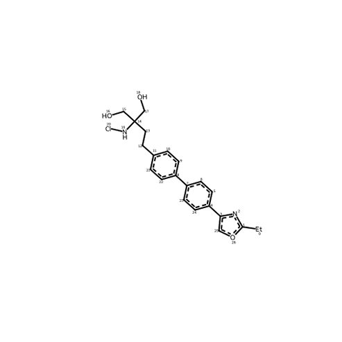 CCc1nc(-c2ccc(-c3ccc(CCC(CO)(CO)NCl)cc3)cc2)co1